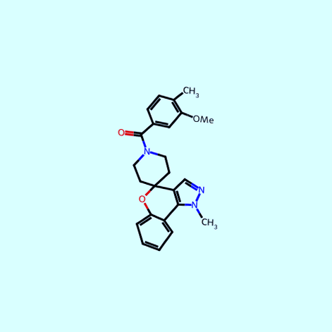 COc1cc(C(=O)N2CCC3(CC2)Oc2ccccc2-c2c3cnn2C)ccc1C